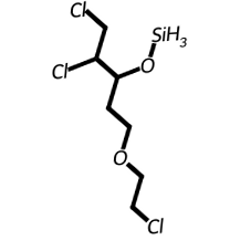 [SiH3]OC(CCOCCCl)C(Cl)CCl